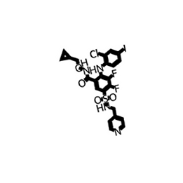 O=C(NOCC1CC1)c1cc(S(=O)(=O)NCc2ccncc2)c(F)c(F)c1Nc1ccc(I)cc1Cl